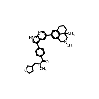 CN1Cc2cc(-c3cnc4[nH]cc(-c5ccc(C(=O)N(C)CC6CCOC6)cc5)c4c3)cc3c2C(C)(CCC3)C1